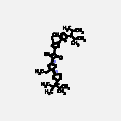 CCc1cc(C2=C([O-])/C(=c3\cc(CC)/c(=C4/C=CC(=[N+](C(C)C)C(C)C)S4)s3)C2=O)sc1-c1ccc(N(C(C)C)C(C)C)s1